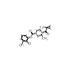 CC1CN(C(=O)Oc2cccc(Cl)c2Cl)CCN1C(=O)C1(C(F)(F)F)CC1